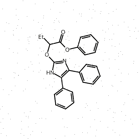 CCC(Oc1nc(-c2ccccc2)c(-c2ccccc2)[nH]1)C(=O)Oc1ccccc1